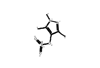 Cc1nn(C)c(C)c1O[SH](=O)=O